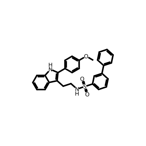 COc1ccc(-c2[nH]c3ccccc3c2CCNS(=O)(=O)c2cccc(-c3ccccc3)c2)cc1